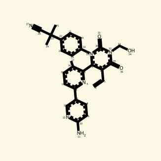 C=Cc1c(-c2nc(-c3ccc(N)nc3)ccc2C)n(-c2ccc(C(C)(C)C#N)cc2)c(=O)n(CO)c1=O